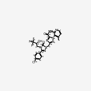 Cc1ccnc(Cl)c1-n1nc(Cn2nc(-c3ccc(Cl)cc3)n(C[C@H](O)C(F)(F)F)c2=O)nc1C(N)=O